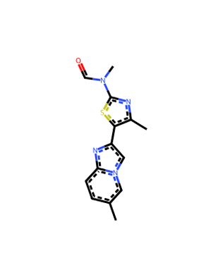 Cc1ccc2nc(-c3sc(N(C)C=O)nc3C)cn2c1